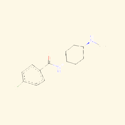 O=C(O)N[C@H]1CC[C@H](NC(=O)c2ccc(Cl)cc2)CC1